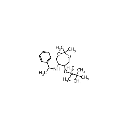 C[C@H](N[C@@H]1COC(C)(C)OC[C@H]1O[Si](C)(C)C(C)(C)C)c1ccccc1